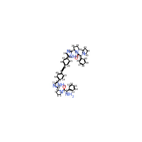 N[C@@H](C(=O)N1CCC[C@H]1c1ncc(-c2ccc(C#Cc3ccc(-c4cnc([C@@H]5CCCN5C(=O)[C@@H](c5ccccc5)N5CCCC5)[nH]4)cc3)cc2)[nH]1)c1ccccc1